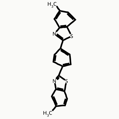 Cc1ccc2sc(-c3ccc(-c4nc5cc(C)ccc5s4)cc3)nc2c1